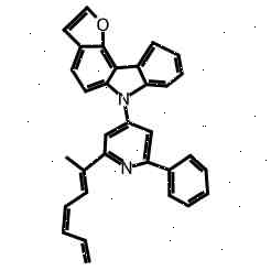 C=C/C=C\C=C(/C)c1cc(-n2c3ccccc3c3c4occc4ccc32)cc(-c2ccccc2)n1